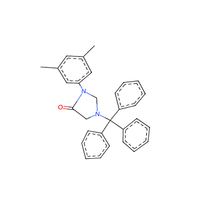 Cc1cc(C)cc(N2CN(C(c3ccccc3)(c3ccccc3)c3ccccc3)CC2=O)c1